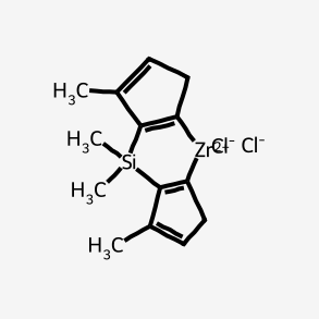 CC1=CC[C]2=C1[Si](C)(C)C1=[C](CC=C1C)[Zr+2]2.[Cl-].[Cl-]